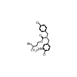 CCCC[C@@H](COC(=O)N(Cc1ccc(Cl)cc1)Cc1ccc(Cl)cc1)N(C(=O)O)C(C)(C)C